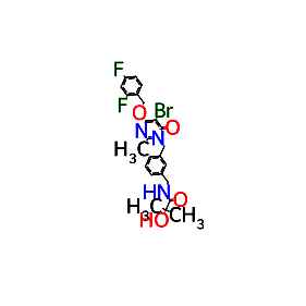 Cc1nc(OCc2ccc(F)cc2F)c(Br)c(=O)n1Cc1cccc(CNC(=O)C(C)(C)O)c1